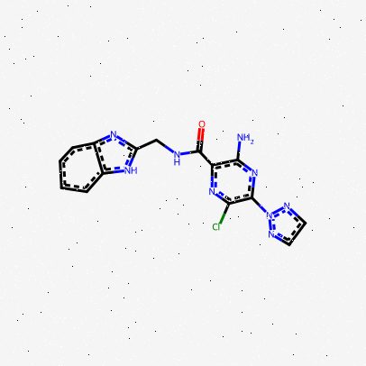 Nc1nc(-n2nccn2)c(Cl)nc1C(=O)NCc1nc2ccccc2[nH]1